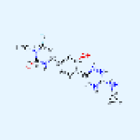 Cn1c(F)cc(-c2ccc(-c3cnc(NC4CC4)nn3)c(O)c2)nc1=O